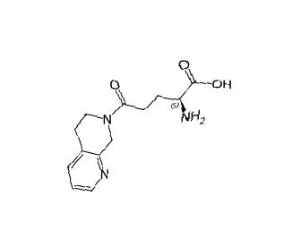 N[C@@H](CCC(=O)N1CCc2cccnc2C1)C(=O)O